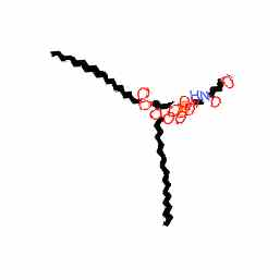 CCCCCCCCCCCCCCCCCC(=O)OCC(COP(=O)(O)OCCNC(=O)CCCOC)OC(=O)CCCCCCCCCCCCCCCCC